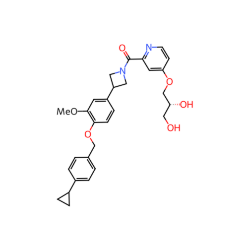 COc1cc(C2CN(C(=O)c3cc(OC[C@H](O)CO)ccn3)C2)ccc1OCc1ccc(C2CC2)cc1